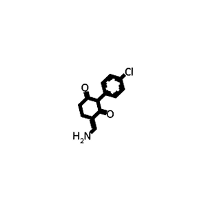 NC=C1CCC(=O)C(c2ccc(Cl)cc2)C1=O